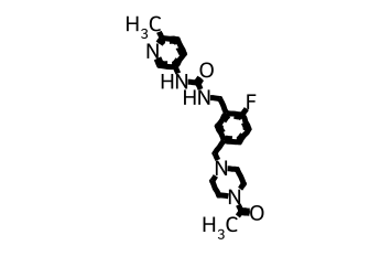 CC(=O)N1CCN(Cc2ccc(F)c(CNC(=O)Nc3ccc(C)nc3)c2)CC1